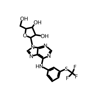 OCC1OC(n2cnc3c(Nc4cccc(SC(F)(F)F)c4)ncnc32)C(O)C1O